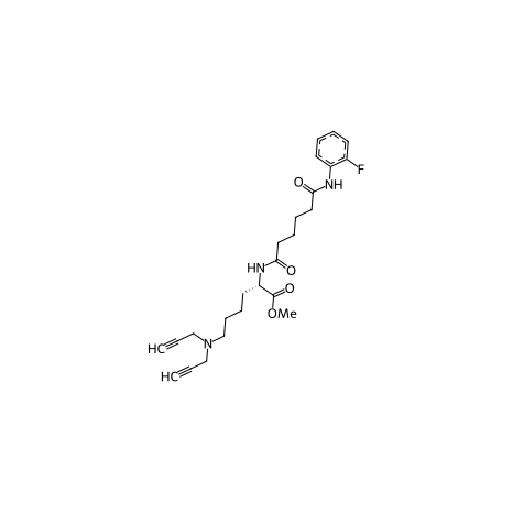 C#CCN(CC#C)CCCC[C@H](NC(=O)CCCCC(=O)Nc1ccccc1F)C(=O)OC